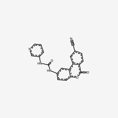 N#Cc1ccc2c(=O)oc3ccc(NC(=O)Nc4cccnc4)cc3c2c1